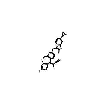 CC(C#N)=C1c2ccc(Cc3c(C)nc4cc(C5CC5)ccn34)cc2COc2cc(F)ccc21